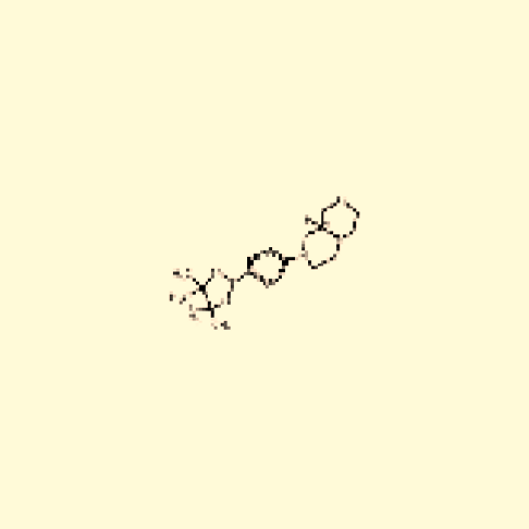 CC1(C)OB(c2ccc(N3CCN4CCOC[C@H]4C3)cc2)OC1(C)C